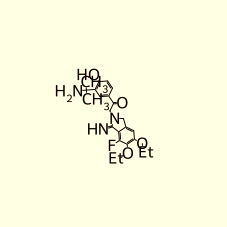 CCOc1cc2c(c(F)c1OCC)C(=N)N(CC(=O)c1ccc(O)c(C(C)(C)N)c1)C2